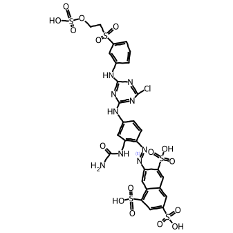 NC(=O)Nc1cc(Nc2nc(Cl)nc(Nc3cccc(S(=O)(=O)CCOS(=O)(=O)O)c3)n2)ccc1/N=N/c1cc2c(S(=O)(=O)O)cc(S(=O)(=O)O)cc2cc1S(=O)(=O)O